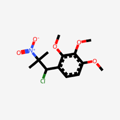 COc1ccc(C(Cl)C(C)(C)[N+](=O)[O-])c(OC)c1OC